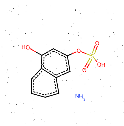 N.O=S(=O)(O)Oc1cc(O)c2ccccc2c1